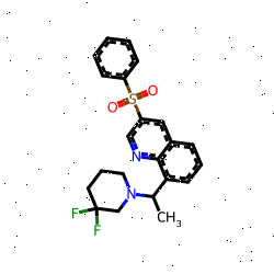 CC(c1cccc2cc(S(=O)(=O)c3ccccc3)cnc12)N1CCCC(F)(F)C1